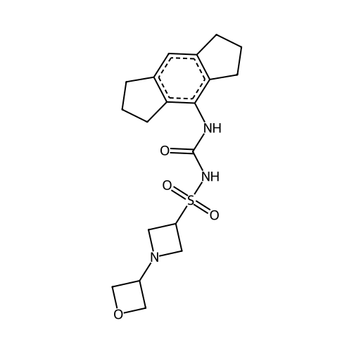 O=C(Nc1c2c(cc3c1CCC3)CCC2)NS(=O)(=O)C1CN(C2COC2)C1